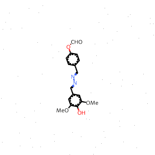 COc1cc(/C=N/N=C/c2ccc(OC=O)cc2)cc(OC)c1O